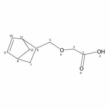 O=C(O)COCC1CC2C=CC1C2